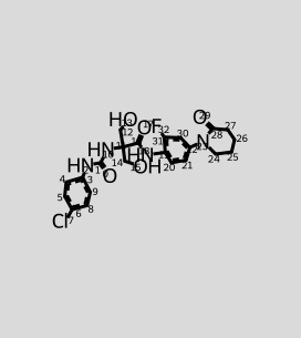 O=C(Nc1ccc(Cl)cc1)NC(CO)(CO)C(=O)Nc1ccc(N2CCCCC2=O)cc1F